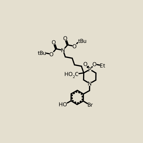 CCOP1(=O)CCN(Cc2ccc(O)cc2Br)CC1(CCCCN(C(=O)OC(C)(C)C)C(=O)OC(C)(C)C)C(=O)O